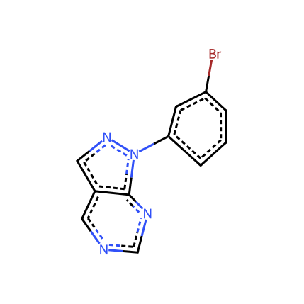 Brc1cccc(-n2ncc3cncnc32)c1